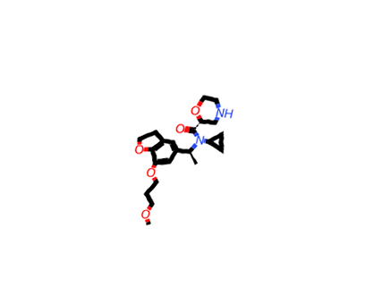 COCCCOc1cc([C@H](C)N(C(=O)[C@H]2CNCCO2)C2CC2)cc2c1OCC2